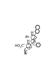 CC(C)[C@H](NC(=O)c1ccc2ccccc2c1)C1=NOC(Cc2ccccc2)(C(=O)N[C@@H](CC(=O)O)C(=O)C=[N+]=[N-])C1